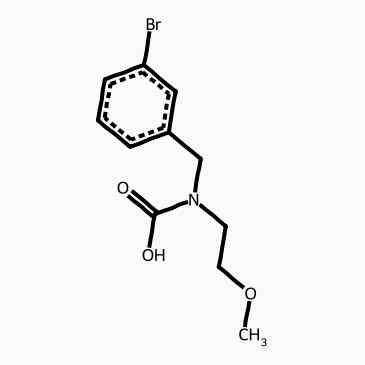 COCCN(Cc1cccc(Br)c1)C(=O)O